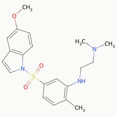 COc1ccc2c(ccn2S(=O)(=O)c2ccc(C)c(NCCN(C)C)c2)c1